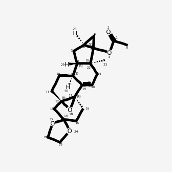 CC(=O)OC12C[C@@H]1C[C@H]1[C@@H]3CC[C@@]45CC6(CC[C@@]4(O5)C3=CC[C@@]12C)OCCO6